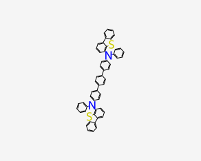 c1ccc(N(c2ccc(-c3ccc(-c4ccc(N(c5ccccc5)c5cccc6c5sc5ccccc56)cc4)cc3)cc2)c2cccc3c2sc2ccccc23)cc1